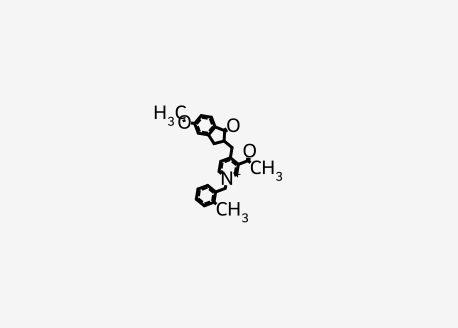 COc1ccc2c(c1)CC(Cc1cc[n+](Cc3ccccc3C)cc1C(C)=O)C2=O